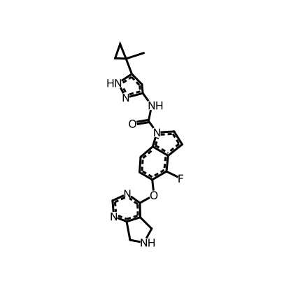 CC1(c2cc(NC(=O)n3ccc4c(F)c(Oc5ncnc6c5CNC6)ccc43)n[nH]2)CC1